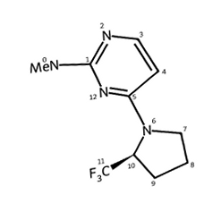 CNc1nccc(N2CCC[C@H]2C(F)(F)F)n1